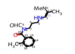 CN/C(C)=C\NCCCN(C=O)C(=O)c1ccccc1C